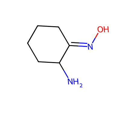 NC1CCCCC1=NO